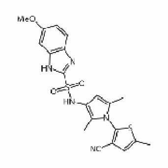 COc1ccc2nc(S(=O)(=O)Nc3cc(C)n(-c4sc(C)cc4C#N)c3C)[nH]c2c1